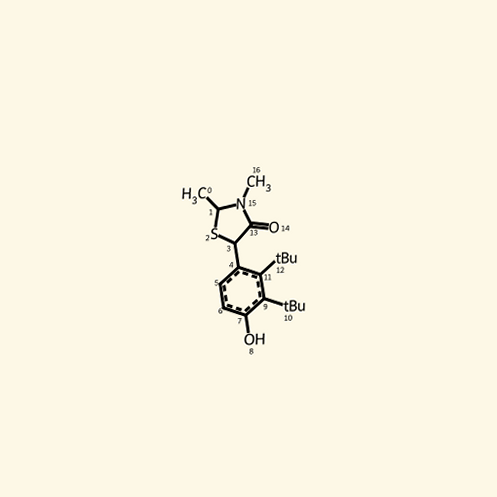 CC1SC(c2ccc(O)c(C(C)(C)C)c2C(C)(C)C)C(=O)N1C